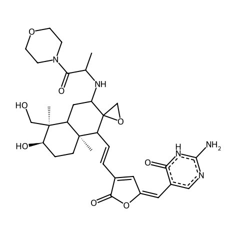 CC(NC1CC2[C@](C)(CC[C@@H](O)[C@@]2(C)CO)C(/C=C/C2=CC(=C\c3cnc(N)[nH]c3=O)/OC2=O)C12CO2)C(=O)N1CCOCC1